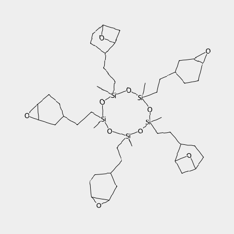 C[Si]1(CCC2CCC3OC3C2)O[Si](C)(CCC2CCC3OC3C2)O[Si](C)(CCC2CCC3CC2O3)O[Si](C)(CCC2CCC3OC3C2)O[Si](C)(CCC2CCC3CC2O3)O1